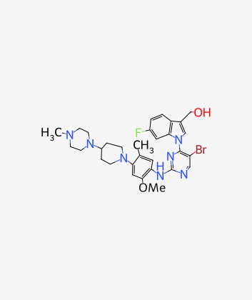 COc1cc(N2CCC(N3CCN(C)CC3)CC2)c(C)cc1Nc1ncc(Br)c(-n2cc(CO)c3ccc(F)cc32)n1